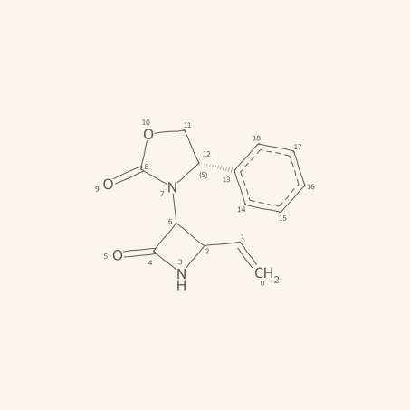 C=CC1NC(=O)C1N1C(=O)OC[C@@H]1c1ccccc1